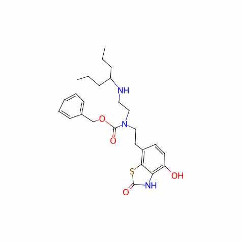 CCCC(CCC)NCCN(CCc1ccc(O)c2[nH]c(=O)sc12)C(=O)OCc1ccccc1